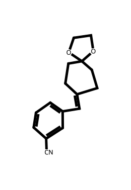 N#Cc1cccc(C=C2CCC3(CC2)OCCO3)c1